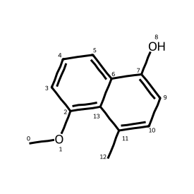 COc1cccc2c(O)ccc(C)c12